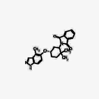 Cc1c(O[C@H]2CCC(C)(C)[C@H](N3C(=O)c4ccccc4C3=O)C2)ccc2[nH]ncc12